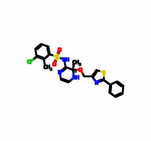 Cc1c(Cl)cccc1S(=O)(=O)NC1=NC=CN[C@@]1(C)OCc1csc(-c2ccccc2)n1